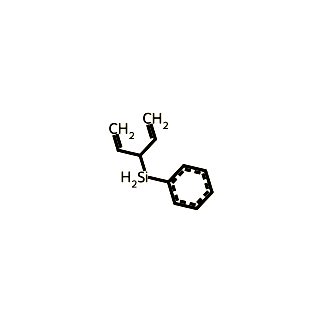 C=CC(C=C)[SiH2]c1ccccc1